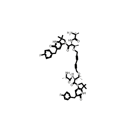 C[C@H](N)C(=O)N[C@H](C(=O)N1CC(C)(C)c2[nH]c(=O)c(Cc3ccc(F)cc3)cc21)[C@@H](C)OCC#CC#CCO[C@H](C)[C@H](NC(=O)[C@H](C)N)C(=O)N1CC(C)(C)c2[nH]c(=O)c(Cc3ccc(F)cc3)cc21